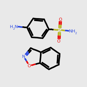 Nc1ccc(S(N)(=O)=O)cc1.c1ccc2oncc2c1